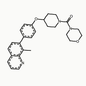 Cc1c(-c2ccc(OC3CCN(C(=O)N4CCOCC4)CC3)cc2)ccc2cccnc12